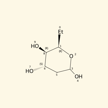 CC[C@H]1OC(O)C[C@H](O)[C@H]1O